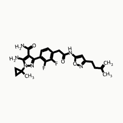 C=C(C)CCc1cc(NC(=O)Cc2ccc(-c3nn(C4(C)CC4)c(N)c3C(N)=O)c(F)c2F)on1